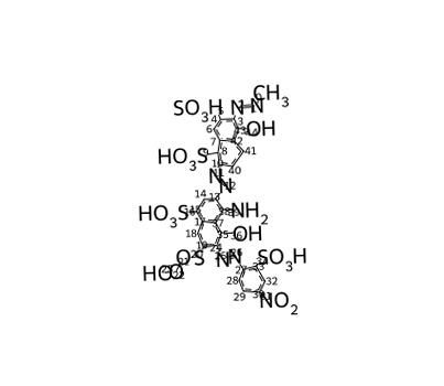 CN=Nc1c(S(=O)(=O)O)cc2c(S(=O)(=O)O)c(N=Nc3cc(S(=O)(=O)O)c4cc(SOOO)c(N=Nc5ccc([N+](=O)[O-])cc5S(=O)(=O)O)c(O)c4c3N)ccc2c1O